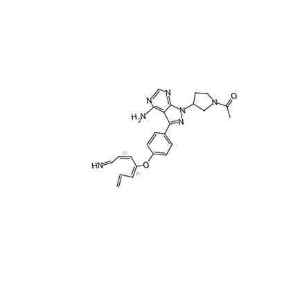 C=C/C=C(\C=C/C=N)Oc1ccc(-c2nn(C3CCN(C(C)=O)C3)c3ncnc(N)c23)cc1